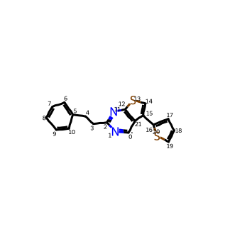 [c]1nc(CCc2ccccc2)nc2scc(-c3cccs3)c12